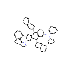 c1ccc(N(c2ccccc2)c2ccc3c(-c4ccc5ccccc5c4)c4cc(-c5cccc6ccc7cccnc7c56)ccc4c(-c4ccc5ccccc5c4)c3c2)cc1